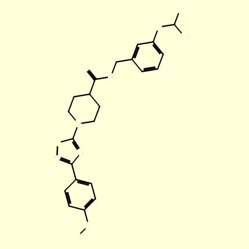 COc1ccc(-c2noc(N3CCC(C(=O)NCc4cccc(OC(C)C)c4)CC3)n2)cc1